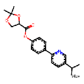 CCCCCCC(C)c1ccc(-c2ccc(OC(=O)C3COC(C)(C)O3)cc2)nc1